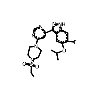 CCS(=O)(=O)N1CCN(c2cc(-c3n[nH]c4cc(F)c(OC(C)C)cc34)ncn2)CC1